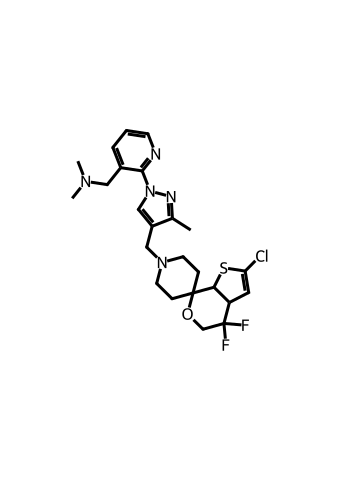 Cc1nn(-c2ncccc2CN(C)C)cc1CN1CCC2(CC1)OCC(F)(F)C1C=C(Cl)SC12